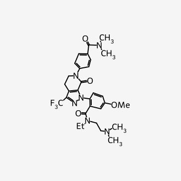 CCN(CCN(C)C)C(=O)c1cc(OC)ccc1-n1nc(C(F)(F)F)c2c1C(=O)N(c1ccc(C(=O)N(C)C)cc1)CC2